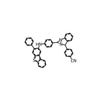 N#Cc1ccc(C2c3ccccc3N3C(c4ccc(Nc5cc6c(cc5-c5ccccc5)sc5ccccc56)cc4)[N@]23)cc1